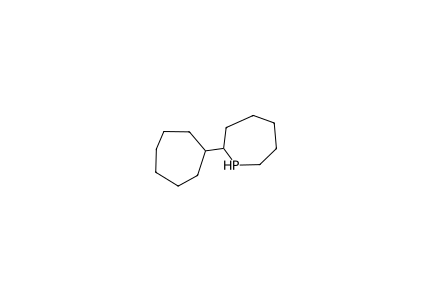 C1CCCC(C2CCCCCP2)CC1